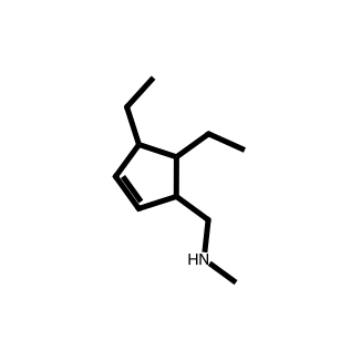 CCC1C=CC(CNC)C1CC